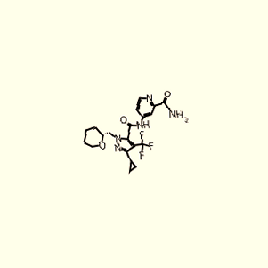 NC(=O)c1cc(NC(=O)c2c(C(F)(F)F)c(C3CC3)nn2C[C@H]2CCCCO2)ccn1